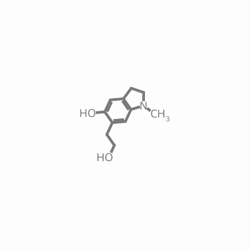 CN1CCc2cc(O)c(CCO)cc21